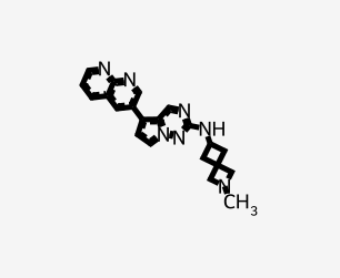 CN1CC2(CC(Nc3ncc4c(-c5cnc6ncccc6c5)ccn4n3)C2)C1